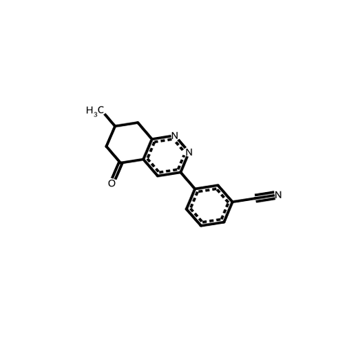 CC1CC(=O)c2cc(-c3cccc(C#N)c3)nnc2C1